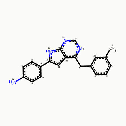 Cc1cccc(Cc2ncnc3[nH]c(-c4ccc(N)cc4)cc23)c1